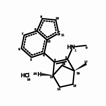 CNC1=C(c2cccc3ccsc23)[C@@H]2CC[C@@]1(C)C2.Cl